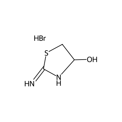 Br.N=C1NC(O)CS1